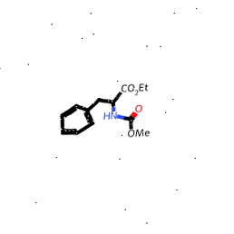 CCOC(=O)C(Cc1ccccc1)NC(=O)OC